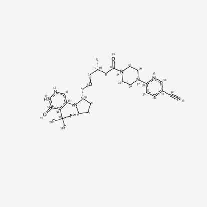 C[C@@H](COC[C@@H]1CCCN1c1cn[nH]c(=O)c1C(F)(F)F)CC(=O)N1CCN(c2ccc(C#N)cn2)CC1